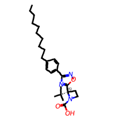 CCCCCCCCCCc1ccc(-c2noc([C@@]3(C(C)(C)C)CCN3C(=O)O)n2)cc1